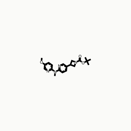 COc1ccc(N(C)c2ccc(C3CN(C(=O)OC(C)(C)C)C3)cn2)nc1